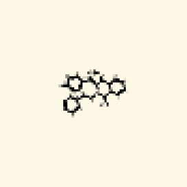 O=C(NCCc1ccccc1)C1C=CC=CC1c1cc(-c2ccc(F)cc2)[nH]n1